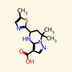 Cc1cnc(C2CC(C)(C)n3ncc(C(=O)O)c3N2)s1